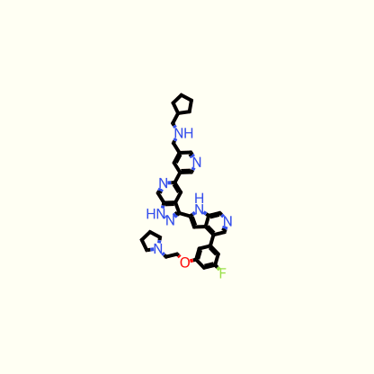 Fc1cc(OCCN2CCCC2)cc(-c2cncc3[nH]c(-c4n[nH]c5cnc(-c6cncc(CNCC7CCCC7)c6)cc45)cc23)c1